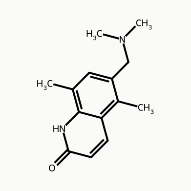 Cc1c(CN(C)C)cc(C)c2[nH]c(=O)ccc12